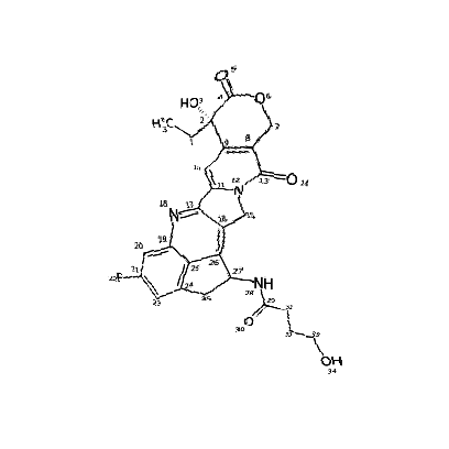 CC[C@@]1(O)C(=O)OCc2c1cc1n(c2=O)Cc2c-1nc1cc(F)cc3c1c2C(NC(=O)CCCO)C3